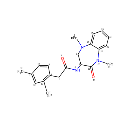 CCCN1CC(NC(=O)Cc2ccc(C(F)(F)F)cc2C(F)(F)F)C(=O)N(CCC)c2ccccc21